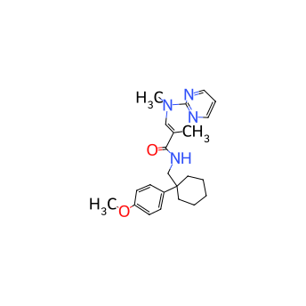 COc1ccc(C2(CNC(=O)/C(C)=C/N(C)c3ncccn3)CCCCC2)cc1